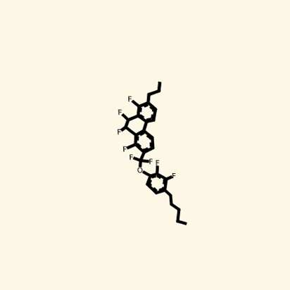 CCCCCc1ccc(OC(F)(F)c2ccc3c(c2F)C(F)C(F)c2c-3ccc(CCC)c2F)c(F)c1F